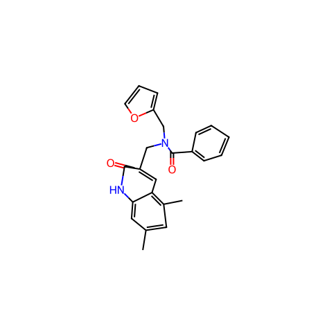 Cc1cc(C)c2cc(CN(Cc3ccco3)C(=O)c3ccccc3)c(=O)[nH]c2c1